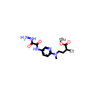 CCC(CCN(C)c1ccc(NC(=O)C(=O)NN)cn1)C(=O)OC(C)(C)C